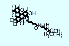 CC(C)(C)OC(=O)NCCCNC(=O)CCCCCOC(=O)c1c(Cl)c(Cl)c(Cl)c(Cl)c1-c1c2cc(I)c(=O)c(I)c-2oc2c(I)c(O)c(I)cc12